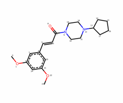 COc1cc(C=CC(=O)N2CCN(C3CCCC3)CC2)cc(OC)c1